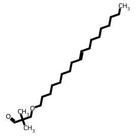 CCCCCCCCC=CCCCCCCCCOCC(C)(C)C=O